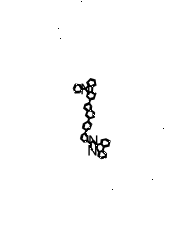 c1ccc(-n2c3ccccc3c3ccc(-c4ccc5cc(-c6ccc(-c7cccc(-c8cnc9c%10ccccc%10c%10ccccc%10c9n8)c7)cc6)ccc5c4)cc32)cc1